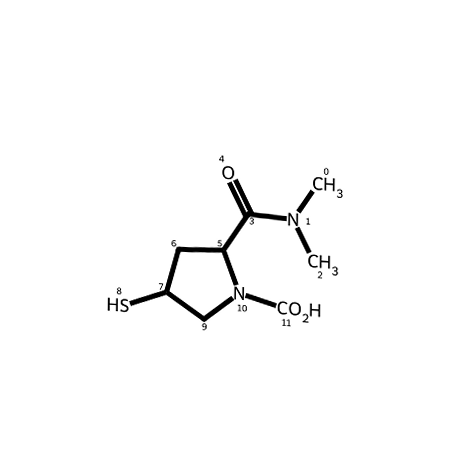 CN(C)C(=O)C1CC(S)CN1C(=O)O